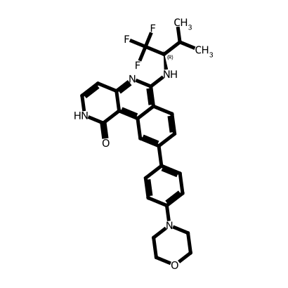 CC(C)[C@@H](Nc1nc2cc[nH]c(=O)c2c2cc(-c3ccc(N4CCOCC4)cc3)ccc12)C(F)(F)F